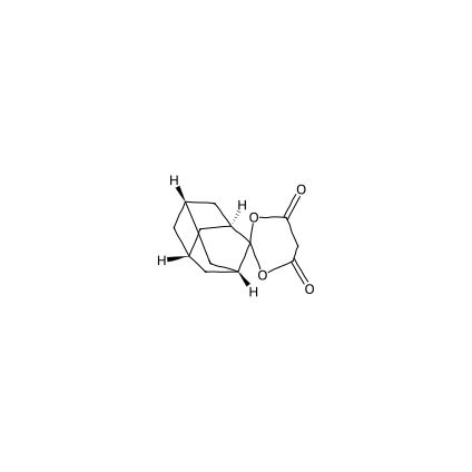 O=C1CC(=O)OC2(O1)[C@H]1C[C@H]3C[C@H](C1)C[C@H]2C3